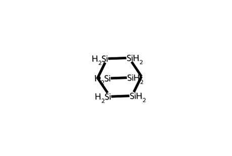 [SiH2]1[SiH2]C2[SiH2][SiH2]C1[SiH2][SiH2]2